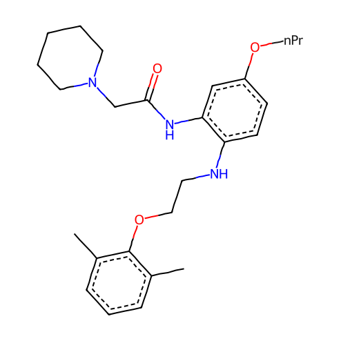 CCCOc1ccc(NCCOc2c(C)cccc2C)c(NC(=O)CN2CCCCC2)c1